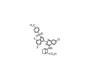 Cc1ccc(S(=O)(=O)n2cc(-c3nc(NC4C5CCC(CC5)C4C(=O)O)c4ccc(Cl)cc4n3)c3cc(F)cc(F)c32)cc1